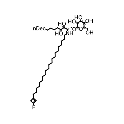 CCCCCCCCCCCCCC[C@@H](O)[C@@H](O)[C@H](CO[C@H]1O[C@H](CO)[C@H](O)[C@H](O)[C@H]1O)NCCCCCCCCCCCCCCCCCCCCCC12CC(F)(C1)C2